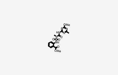 COC(=O)c1ccccc1NS(=O)(=O)N(C)C(=O)Nc1nc(C)nc(OC)n1